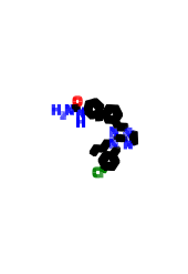 CCCCN(Cc1ccc(Cl)cc1)c1nc(-c2cccc(C3(C)C=CC=C(NC(N)=O)C3)c2)cn2ccnc12